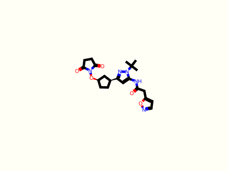 CC(C)(C)n1nc([C@H]2CC[C@@H](ON3C(=O)CCC3=O)C2)cc1NC(=O)Cc1ccno1